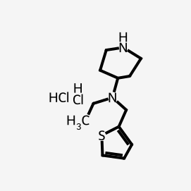 CCN(Cc1cccs1)C1CCNCC1.Cl.Cl